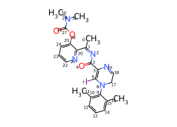 CC(=NC(=O)C1=C(I)N(c2c(C)cccc2C)CC=N1)c1ncccc1OC(=O)N(C)C